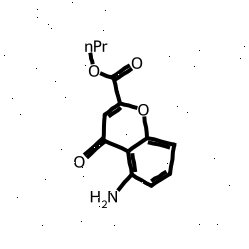 CCCOC(=O)c1cc(=O)c2c(N)cccc2o1